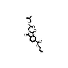 C=CCOC(=O)c1ccc2c(c1)C(=O)N(CC(=O)OCC(=C)C)C2=O